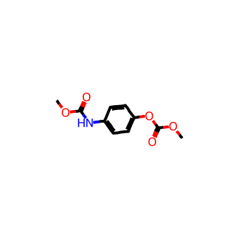 COC(=O)Nc1ccc(OC(=O)OC)cc1